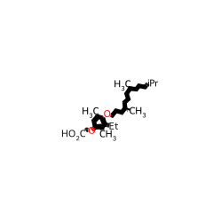 CCc1c(C)c(OCC(=O)O)cc(C)c1OCCC[C@H](C)CCC[C@H](C)CCCC(C)C